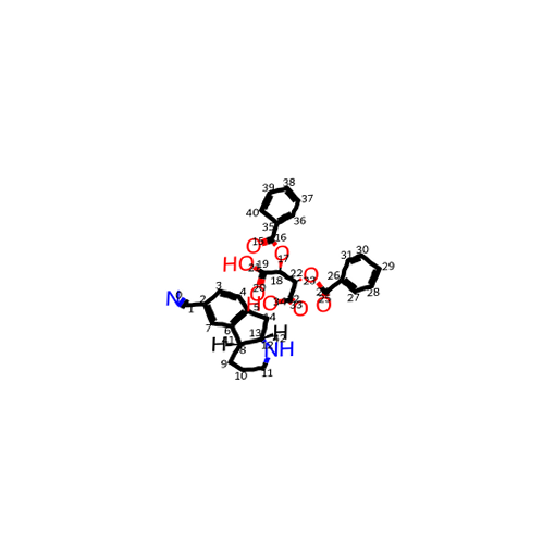 N#Cc1ccc2c(c1)[C@H]1CCCN[C@H]1C2.O=C(O[C@H](C(=O)O)[C@H](OC(=O)c1ccccc1)C(=O)O)c1ccccc1